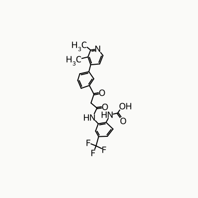 Cc1nccc(-c2cccc(C(=O)CC(=O)Nc3cc(C(F)(F)F)ccc3NC(=O)O)c2)c1C